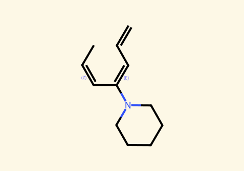 C=C/C=C(\C=C/C)N1CCCCC1